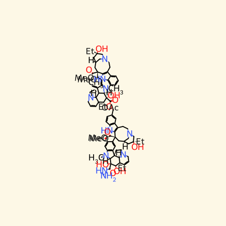 C/C=C1\C(=C/C(OC)[C@@]2(C(=O)OC)C[C@H]3C[N@@](CCc4c2[nH]c2ccccc42)C[C@](O)(CC)C3)N(C)[C@H]2[C@@](O)(C(=O)OCc3ccc4[nH]c5c(c4c3)CC[N@]3C[C@@H](C[C@@](O)(CC)C3)C[C@]5(C(=O)OC)c3cc4c(cc3OC)N(C)[C@H]3[C@@](O)(C(=O)NN)[C@H](O)[C@]5(CC)C=CCN6CC[C@]43[C@@H]65)[C@H](OC(C)=O)[C@]3(CC)C=CCN4CC[C@]12[C@@H]43